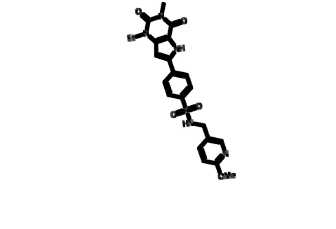 CCn1c(=O)n(C)c(=O)c2[nH]c(-c3ccc(S(=O)(=O)NCc4ccc(OC)nc4)cc3)cc21